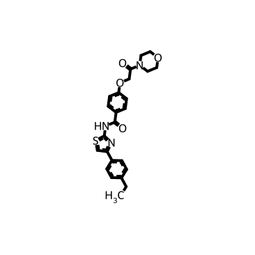 CCc1ccc(-c2csc(NC(=O)c3ccc(OCC(=O)N4CCOCC4)cc3)n2)cc1